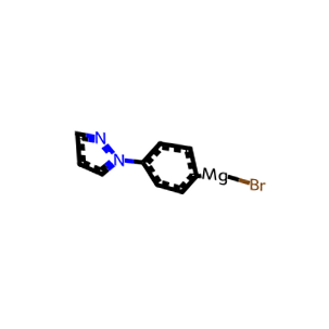 [Br][Mg][c]1ccc(-n2cccn2)cc1